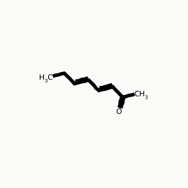 CCC=CC=CC(C)=O